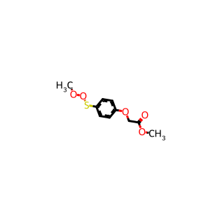 COOSc1ccc(OCC(=O)OC)cc1